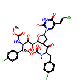 CC(C)(C)OC(=O)NC(Cc1ccc(F)cc1)C(=O)C(O)[C@H]1O[C@@H](n2cc(/C=C/Br)c(=O)[nH]c2=O)C[C@@]1(O)C(=O)C(Cc1ccc(F)cc1)NC(=O)OC(C)(C)C